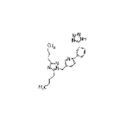 CCCCc1nc(CCCC)n(Cc2ccc(-c3cccc(-c4nnn[nH]4)c3)nc2)n1